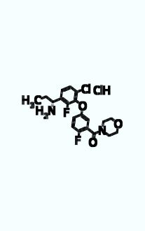 CC[C@@H](N)c1ccc(Cl)c(Oc2ccc(F)c(C(=O)N3CCOCC3)c2)c1F.Cl